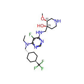 CCN(C[C@H]1CC[C@H](C(F)(F)F)CC1)c1ncnc(NC[C@@]2(O)CCNC[C@@H]2OC)c1F